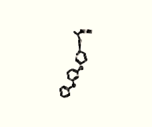 CC(=O)NC(C)C#Cc1ccc(Oc2cccc(Oc3ccccc3)c2)cc1